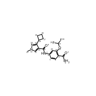 BC(=O)c1ccc(NC(=O)c2cn(C)nc2C2CCC2)cc1OC(F)F